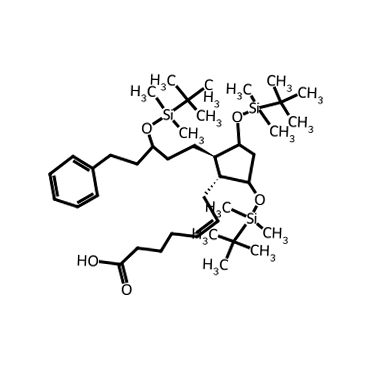 CC(C)(C)[Si](C)(C)OC(CCc1ccccc1)CC[C@H]1C(O[Si](C)(C)C(C)(C)C)CC(O[Si](C)(C)C(C)(C)C)[C@@H]1C/C=C\CCCC(=O)O